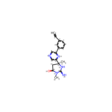 C#Cc1cccc(-c2cncc([C@]3(C)CC(=O)N(C)C(=N)N3)n2)c1